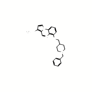 COc1ccn2c1cnc1c(OCC3CCN(Cc4ccccc4)CC3)cccc12